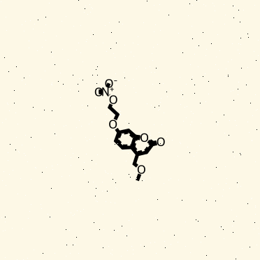 COCc1cc(=O)oc2cc(OCCO[N+](=O)[O-])ccc12